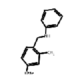 COc1ccc(CNc2ccccc2)c(C)c1